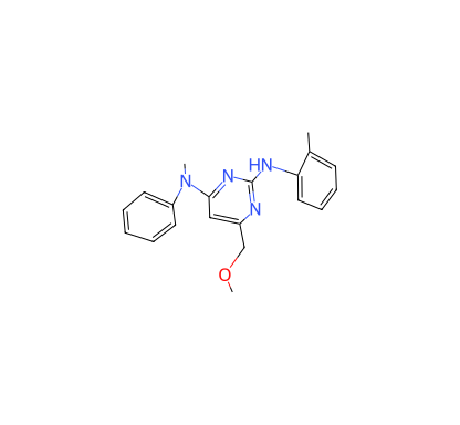 COCc1cc(N(C)c2ccccc2)nc(Nc2ccccc2C)n1